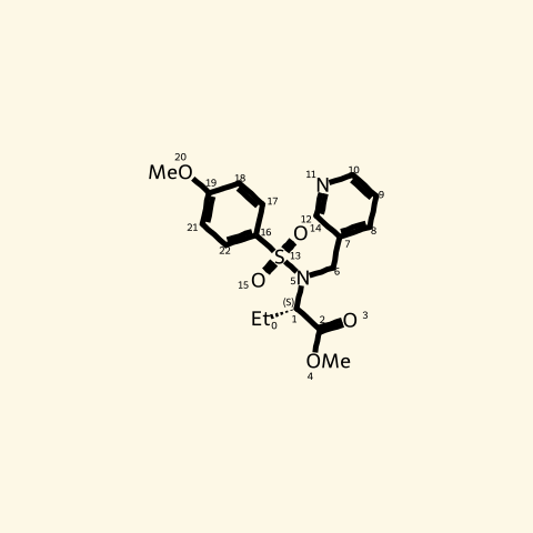 CC[C@@H](C(=O)OC)N(Cc1cccnc1)S(=O)(=O)c1ccc(OC)cc1